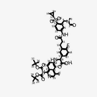 CN(C=O)Cc1cc(NC(=O)CCc2cc(C(Nc3ccc4c(N(C(=O)OC(C)(C)C)C(=O)OC(C)(C)C)ncc(F)c4c3)C(=O)O)ccc2F)ccc1S(=O)(=O)C1CC1